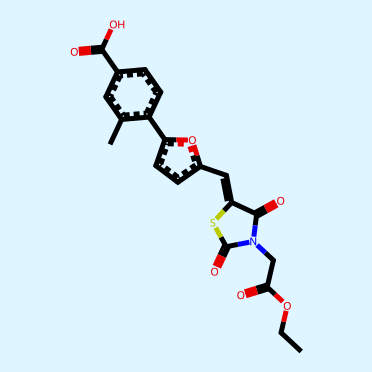 CCOC(=O)CN1C(=O)S/C(=C\c2ccc(-c3ccc(C(=O)O)cc3C)o2)C1=O